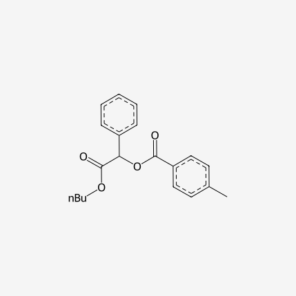 CCCCOC(=O)C(OC(=O)c1ccc(C)cc1)c1ccccc1